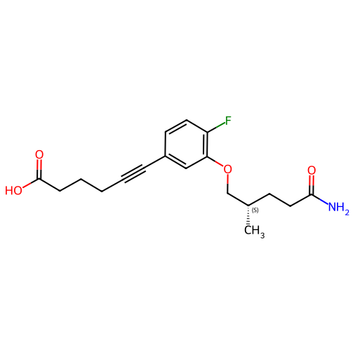 C[C@@H](CCC(N)=O)COc1cc(C#CCCCC(=O)O)ccc1F